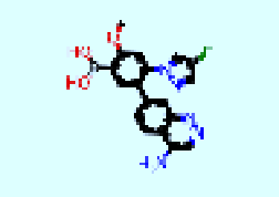 COc1cc(-n2cc(F)cn2)c(-c2ccc3c(N)cnnc3c2)cc1B(O)O